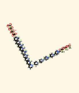 F[n+]1ccccc1.F[n+]1ccccc1.F[n+]1ccccc1.F[n+]1ccccc1.F[n+]1ccccc1.F[n+]1ccccc1.F[n+]1ccccc1.F[n+]1ccccc1.F[n+]1ccccc1.F[n+]1ccccc1.F[n+]1ccccc1.F[n+]1ccccc1.F[n+]1ccccc1.F[n+]1ccccc1.[O-]B([O-])F.[O-]B([O-])F.[O-]B([O-])F.[O-]B([O-])F.[O-]B([O-])F.[O-]B([O-])F.[O-]B([O-])F